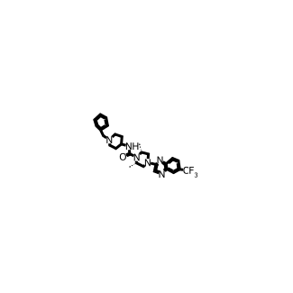 C[C@@H]1CN(c2cnc3cc(C(F)(F)F)ccc3n2)C[C@H](C)N1C(=O)NC1CCN(Cc2ccccc2)CC1